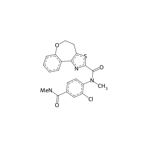 CNC(=O)c1ccc(N(C)C(=O)c2nc3c(s2)CCOc2ccccc2-3)c(Cl)c1